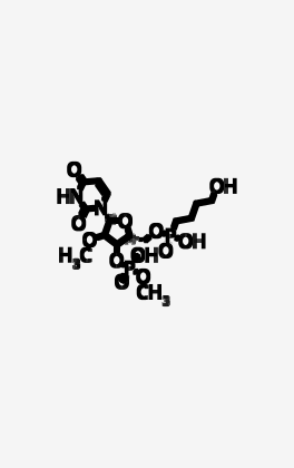 COC1C(OP(=O)(O)OC)[C@@H](COP(=O)(O)CCCCO)O[C@H]1n1ccc(=O)[nH]c1=O